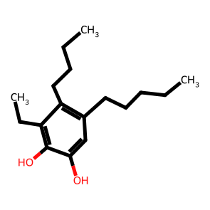 CCCCCc1cc(O)c(O)c(CC)c1CCCC